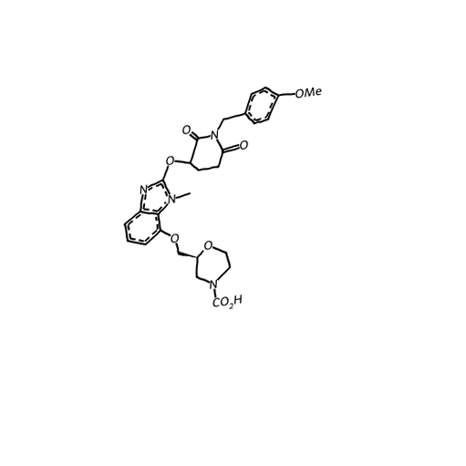 COc1ccc(CN2C(=O)CCC(Oc3nc4cccc(OC[C@@H]5CN(C(=O)O)CCO5)c4n3C)C2=O)cc1